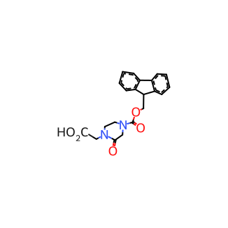 O=C(O)CN1CCN(C(=O)OCC2c3ccccc3-c3ccccc32)CC1=O